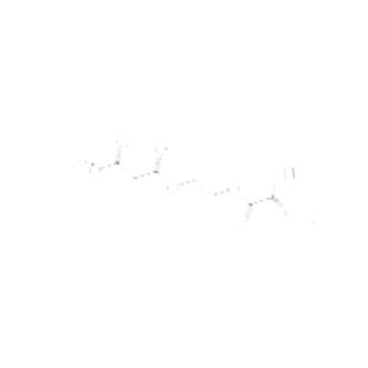 C=C(C)C(=O)OCCOC(=O)CC(=O)OC